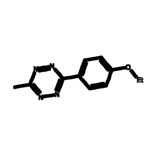 CCOc1ccc(-c2nnc(C)nn2)cc1